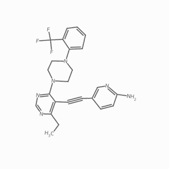 CCc1ncnc(N2CCN(c3ccccc3C(F)(F)F)CC2)c1C#Cc1ccc(N)nc1